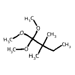 CCC(C)(C)C(OC)(OC)OC